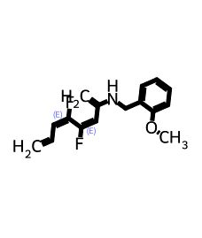 C=C/C=C(F)\C(F)=C/C(=C)NCc1ccccc1OC